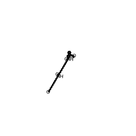 CC(=O)OCC1c2ccccc2-c2ccc(NC(=O)CCCCCCCCCCCCCCCC(=O)NCCCCCCCCCCCCCCCC=O)cc21